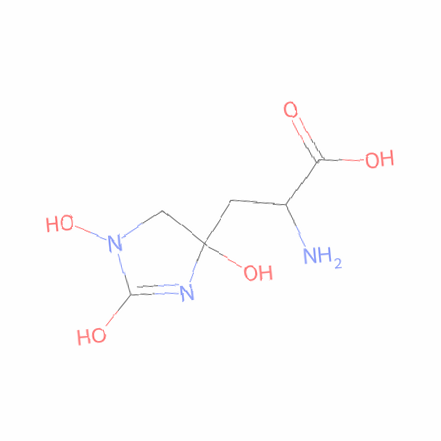 NC(CC1(O)CN(O)C(O)=N1)C(=O)O